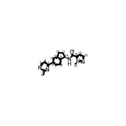 Cc1nccc(-c2ccc3c(c2)CC[C@H]3NC(=O)c2ccnn2C)n1